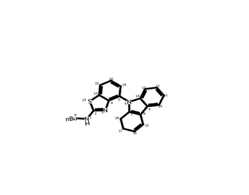 CCCCNc1nc2c(-n3c4c(c5ccccc53)C=CCC4)cccc2s1